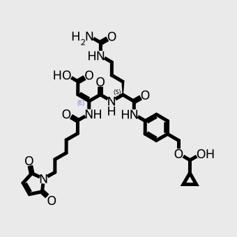 NC(=O)NCCC[C@H](NC(=O)/C(=C\C(=O)O)NC(=O)CCCCCN1C(=O)C=CC1=O)C(=O)Nc1ccc(COC(O)C2CC2)cc1